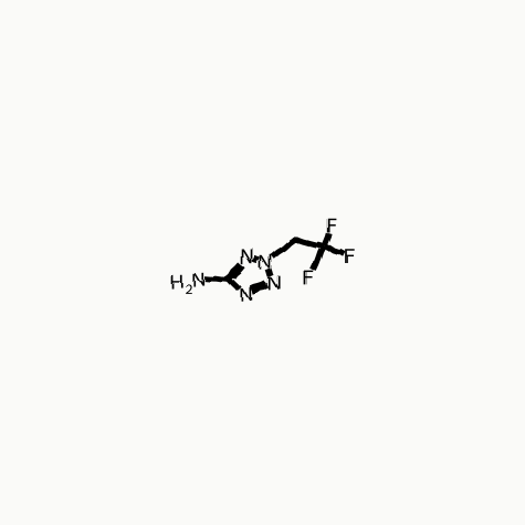 Nc1nnn(CC(F)(F)F)n1